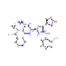 CN(C(=O)c1ccccc1)c1cnc(-c2cc(-c3ccon3)n(Cc3ccccc3F)n2)nc1N